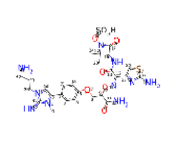 Cn1c(-c2ccc(OCC(O/N=C(\C(=O)NC3C(=O)N(OS(=O)(=O)O)C3(C)C)c3csc(N)n3)C(N)=O)cc2)cn(CCCN)c1=N